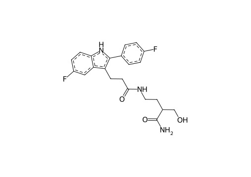 NC(=O)C(CO)CCNC(=O)CCc1c(-c2ccc(F)cc2)[nH]c2ccc(F)cc12